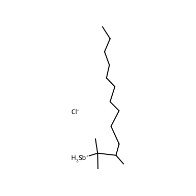 CCCCCCCCCCC(C)[C](C)(C)[SbH3+].[Cl-]